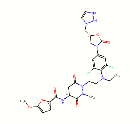 CCN(CCN1C(=O)C[C@H](NC(=O)c2ccc(OC)o2)C(=O)N1C)c1c(F)cc(N2C[C@H](CN3C=CNN3)OC2=O)cc1F